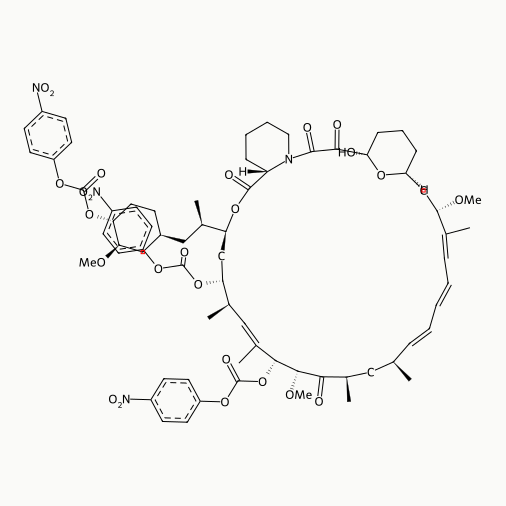 CO[C@H]1C[C@@H]2CCC[C@@](O)(O2)C(=O)C(=O)N2CCCC[C@H]2C(=O)O[C@H]([C@H](C)C[C@@H]2CC[C@@H](OC(=O)Oc3ccc([N+](=O)[O-])cc3)[C@H](OC)C2)C[C@@H](OC(=O)Oc2ccc([N+](=O)[O-])cc2)[C@H](C)/C=C(\C)[C@@H](OC(=O)Oc2ccc([N+](=O)[O-])cc2)[C@@H](OC)C(=O)[C@H](C)C[C@H](C)/C=C/C=C/C=C/1C